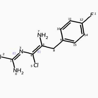 N/C(Cl)=N\C(Cl)=C(/N)Cc1ccc(F)cc1